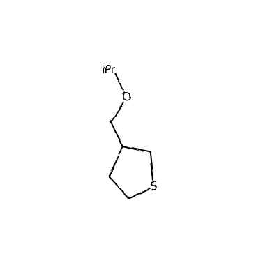 CC(C)OCC1CCSC1